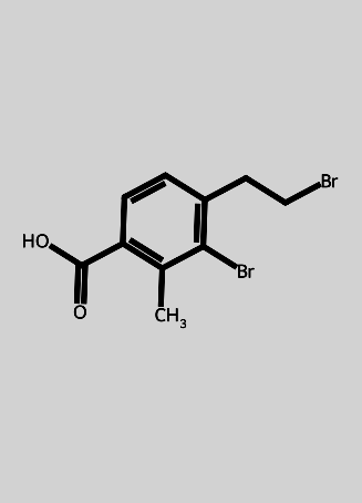 Cc1c(C(=O)O)ccc(CCBr)c1Br